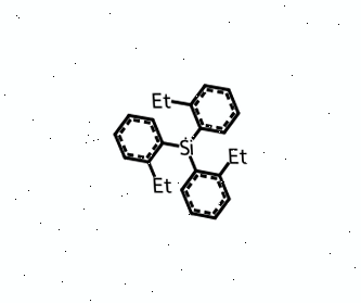 CCc1ccccc1[Si](c1ccccc1CC)c1ccccc1CC